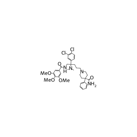 COc1cc(C(=O)NCC(CCCN2CCC(C(N)=O)(c3ccccc3)CC2)(c2ccc(Cl)c(Cl)c2)N(C)C)cc(OC)c1OC